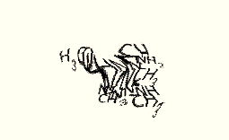 C=C/C=C(\N=C/N)NC1=NC(N2C[C@@H](C)NC[C@@H]2C)=NC2C(C)=NN(CCOC)C12